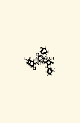 Cc1cncc(-n2c(=O)nc(Nc3cc4cn(C)nc4cc3Cl)n(Cc3cc(C#N)c(F)cc3Cc3cccc(Cl)c3)c2=O)c1